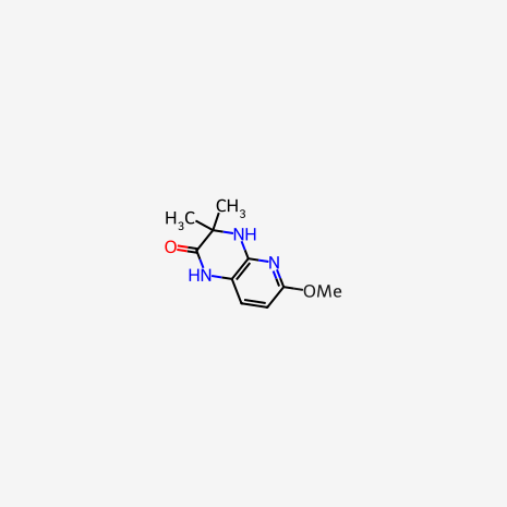 COc1ccc2c(n1)NC(C)(C)C(=O)N2